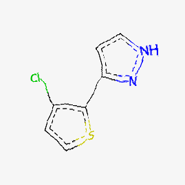 Clc1ccsc1-c1cc[nH]n1